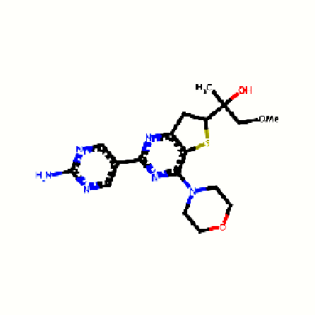 COCC(C)(O)C1Cc2nc(-c3cnc(N)nc3)nc(N3CCOCC3)c2S1